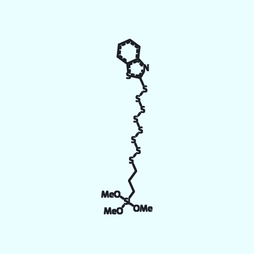 CO[Si](CCCSSSSSSSSc1nc2ccccc2s1)(OC)OC